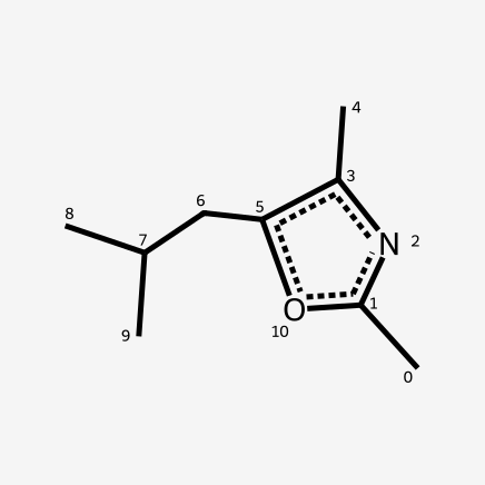 Cc1nc(C)c(CC(C)C)o1